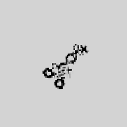 CC(C)(C)OC(=O)N1CCN(CCC2Oc3ccccc3N(c3ccccc3)S2(O)O)CC1